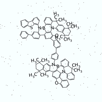 CC1(C)CCC(C)(C)c2cc3c(cc21)-c1cc2oc4ccccc4c2c2c1B(c1cccc4c1N2c1ccccc1C4(C)C)N3c1ccc(-c2ccc3oc4c5c6c(cc4c3c2)-c2ccc(-c3ccccc3)cc2N(c2cccc3c2sc2ccccc23)B6c2cccc3c2N5c2cc4c(cc2C3(C)C)C(C)(C)CCC4(C)C)cc1